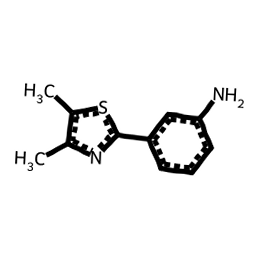 Cc1nc(-c2cccc(N)c2)sc1C